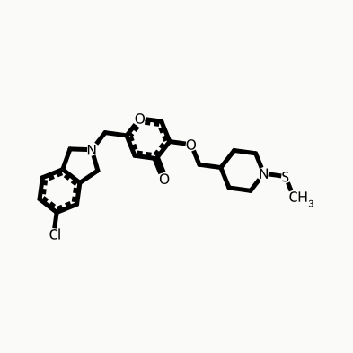 CSN1CCC(COc2coc(CN3Cc4ccc(Cl)cc4C3)cc2=O)CC1